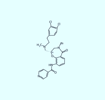 CC(C)N1C[C@@H](CN(C)CCc2ccc(Cl)c(Cl)c2)Oc2c(NC(=O)c3ccncc3)cccc2C1=O